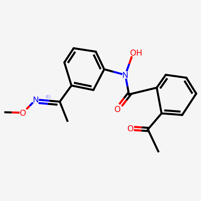 CO/N=C(\C)c1cccc(N(O)C(=O)c2ccccc2C(C)=O)c1